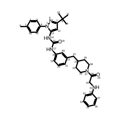 Cc1ccc(-n2nc(C(C)(C)C)cc2NC(=O)Nc2cccc(CC3CCN(C(=O)CNc4ccccc4)CC3)c2)cc1